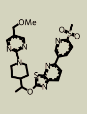 COCc1cnc(N2CCC(C(C)Oc3nc4ccc(-c5ccc(S(C)(=O)=O)nc5)nc4s3)CC2)nc1